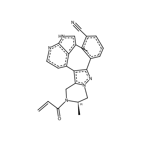 C=CC(=O)N1Cc2c(-c3ccnc4[nH]cc(C)c34)c(-c3cccc(C#N)c3)nn2C[C@H]1C